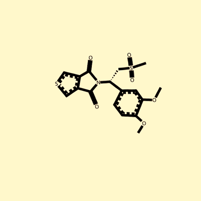 COc1ccc([C@@H](CS(C)(=O)=O)N2C(=O)c3cscc3C2=O)cc1OC